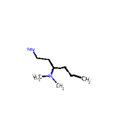 [CH2]CCC(CC[NH])N(C)C